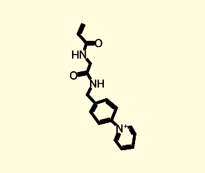 C=CC(=O)NCC(=O)NCc1ccc(-[n+]2ccccc2)cc1